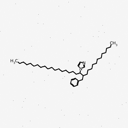 CCCCCCCCCCCCCCCCCCC(C(CCCCCCCCCCCC)Cc1ccccc1)n1ccnc1